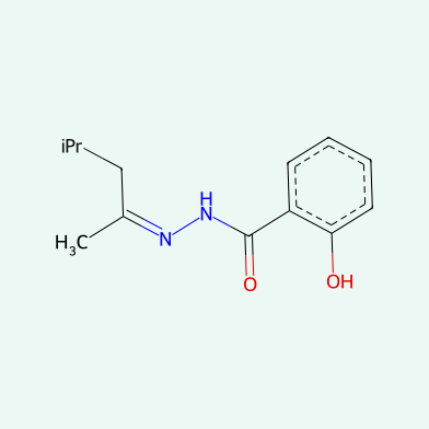 CC(CC(C)C)=NNC(=O)c1ccccc1O